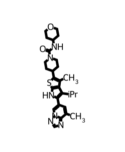 Cc1c(C2CCN(C(=O)NC3CCOCC3)CC2)sc2[nH]c(-c3cc(C)c4ncnn4c3)c(C(C)C)c12